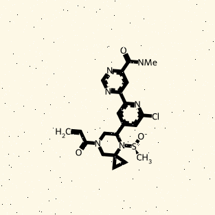 C=CC(=O)N1CC(c2cc(Cl)nc(-c3cc(C(=O)NC)ncn3)c2)N([S@+](C)[O-])C2(CC2)C1